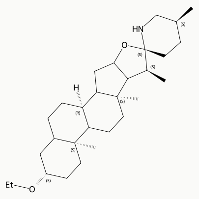 CCO[C@H]1CC[C@@]2(C)C(CC[C@@H]3C2CC[C@@]2(C)C3CC3O[C@@]4(CC[C@H](C)CN4)[C@@H](C)C32)C1